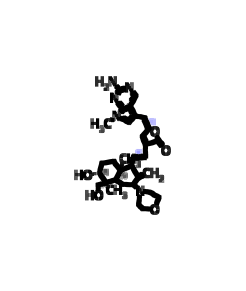 C=C1C(N2CCOCC2)CC2[C@](C)(CC[C@@H](O)[C@@]2(C)CO)C1/C=C/C1=CC(=C\c2cn(C)c3nc(N)ncc23)/OC1=O